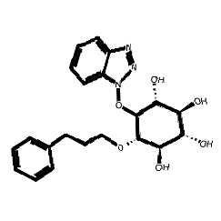 O[C@@H]1[C@@H](O)[C@H](OCCCc2ccccc2)C(On2nnc3ccccc32)[C@H](O)[C@H]1O